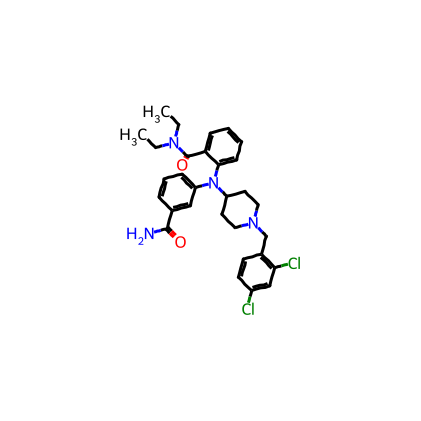 CCN(CC)C(=O)c1ccccc1N(c1cccc(C(N)=O)c1)C1CCN(Cc2ccc(Cl)cc2Cl)CC1